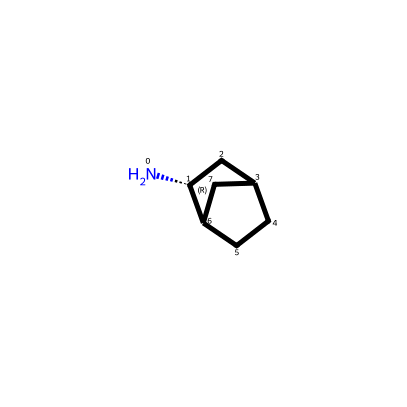 N[C@@H]1CC2CCC1C2